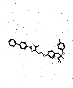 Cc1ccc(OC(C)(Cc2ccc(OCCc3nc(-c4ccc(-c5ccccc5)cc4)oc3C)cc2)C(=O)O)cc1